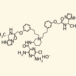 CC(NC(=O)COc1cccc(CCC[N+]2(CCCc3cccc(OCC(=O)N[C@@H](C)c4ncc[nH]4)c3)CCCC(NC(=O)c3nc(Cl)c(N)nc3N)C2)c1)c1ncc[nH]1.[OH-]